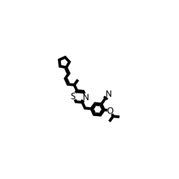 CC(C)Oc1ccc(CC2=NC=C(C(C)/C=C\C=C3CCCC3)SC2)cc1C#N